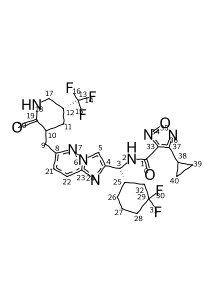 O=C(NC(c1cn2nc(CC3C[C@@H](C(F)(F)F)CNC3=O)ccc2n1)[C@H]1CCCC(F)(F)C1)c1nonc1C1CC1